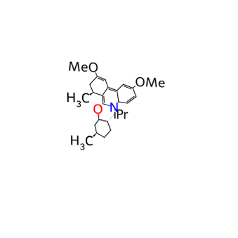 COC1=Cc2c(c(O[C@@H]3C[C@H](C)CC[C@H]3C(C)C)nc3ccc(OC)cc23)[C@@H](C)C1